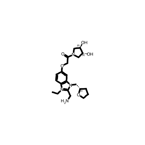 CC[n+]1c(CN)n(C[C@@H]2CCCO2)c2cc(OCC(=O)N3C[C@@H](O)[C@H](O)C3)ccc21